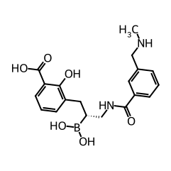 CNCc1cccc(C(=O)NC[C@@H](Cc2cccc(C(=O)O)c2O)B(O)O)c1